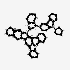 c1ccc(-n2c3ccccc3c3cc(-c4nc(-n5c6cc7ccccc7cc6c6cc7c8ccccc8n8c9ccccc9c(c65)c78)nc5ccccc45)ccc32)cc1